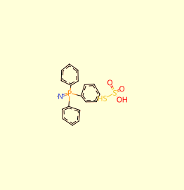 O=S(=O)(O)S.[N]=P(c1ccccc1)(c1ccccc1)c1ccccc1